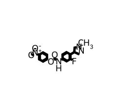 CN1CC(c2ccc(NC(=O)Oc3ccc([N+](=O)[O-])cc3)cc2F)C=N1